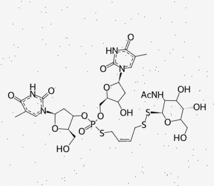 CC(=O)NC1C(O)[C@H](O)C(CO)O[C@H]1SSC/C=C\CSP(=O)(OC[C@H]1O[C@@H](n2cc(C)c(=O)[nH]c2=O)CC1O)OC1C[C@H](n2cc(C)c(=O)[nH]c2=O)O[C@@H]1CO